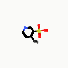 Cc1ccncc1S(=O)(=O)O